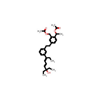 CC/C(=C\C=C\C(O)(CC)CC)c1cccc(CCc2ccc(C(C)OC(C)=O)c(COC(C)=O)c2)c1